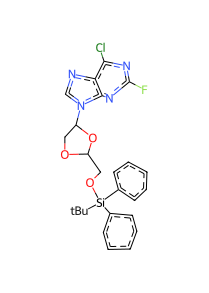 CC(C)(C)[Si](OCC1OCC(n2cnc3c(Cl)nc(F)nc32)O1)(c1ccccc1)c1ccccc1